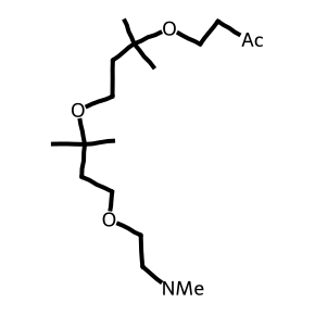 CNCCOCCC(C)(C)OCCC(C)(C)OCCC(C)=O